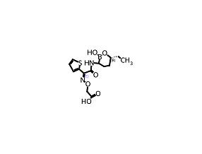 CC[C@@H]1CCC(NC(=O)/C(=N\OCC(=O)O)c2cccs2)B(O)O1